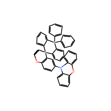 c1ccc([Si]2(c3ccccc3)c3ccccc3[Si]3(c4ccccc4Oc4ccc(N5c6ccccc6Oc6ccccc65)cc43)c3ccccc32)cc1